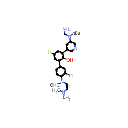 CCCCN(CN)c1cncc(-c2cc(F)cc(-c3ccc(N(C=O)/C=C\N(C)C)c(Cl)c3)c2O)c1